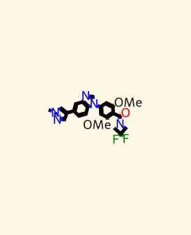 COc1cc(-n2cnc3cc(-c4cnn(C)c4)ccc32)cc(OC)c1C(=O)N1CC(F)(F)C1